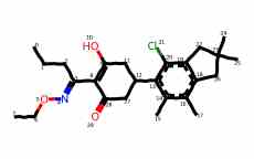 CCCC(=NOCC)C1=C(O)CC(c2c(C)c(C)c3c(c2Cl)CC(C)(C)C3)CC1=O